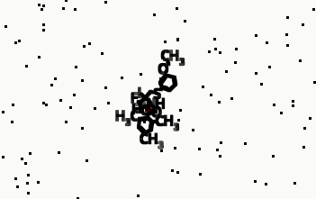 CCOc1cccc(SCC(I)(NS(=O)(=O)c2c(C)cc(C)cc2C)C(F)(F)F)c1